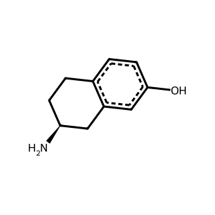 N[C@H]1CCc2ccc(O)cc2C1